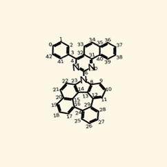 c1ccc(-c2nc(-n3c4cccc5c4c4c6c(cccc6ccc43)-c3ccccc3-5)nc3c2ccc2ccccc23)cc1